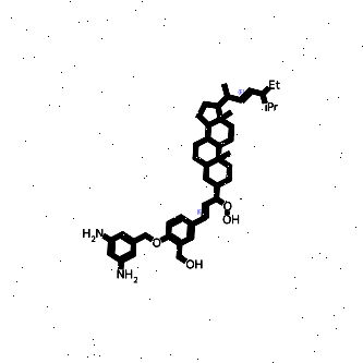 CCC(/C=C/C(C)C1CCC2C3CCC4CC(C(/C=C/c5ccc(OCc6cc(N)cc(N)c6)c(CO)c5)OO)CCC4(C)C3CCC12C)C(C)C